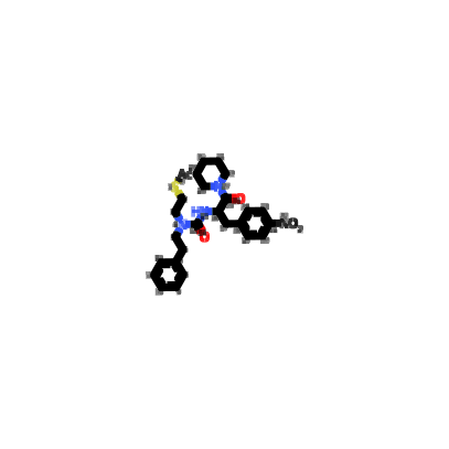 CC(=O)SCCN(CCc1ccccc1)C(=O)NC(Cc1ccc([N+](=O)[O-])cc1)C(=O)N1CCCCC1